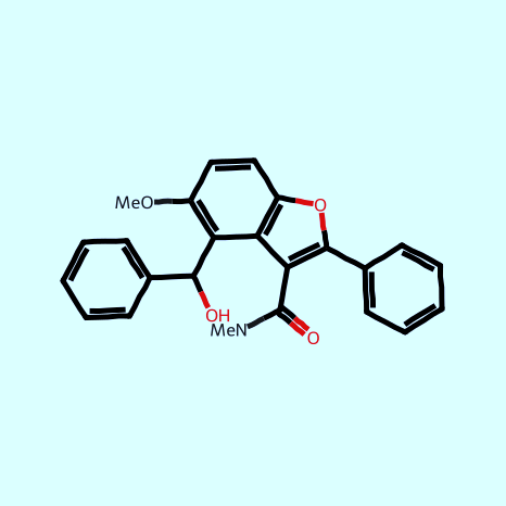 CNC(=O)c1c(-c2ccccc2)oc2ccc(OC)c(C(O)c3ccccc3)c12